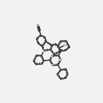 Cc1ccc2c(c1)c1cc(C#N)ccc1n2-c1ccccc1-c1nc(-c2ccccc2)nc(-c2ccccc2)n1